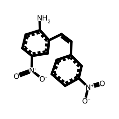 Nc1ccc([N+](=O)[O-])cc1/C=C\c1cccc([N+](=O)[O-])c1